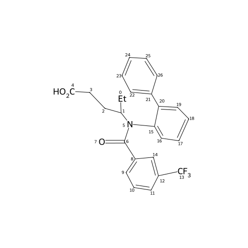 CCC(CCC(=O)O)N(C(=O)c1cccc(C(F)(F)F)c1)c1ccccc1-c1ccccc1